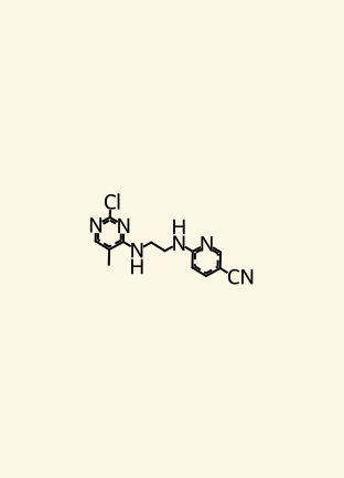 Cc1cnc(Cl)nc1NCCNc1ccc(C#N)cn1